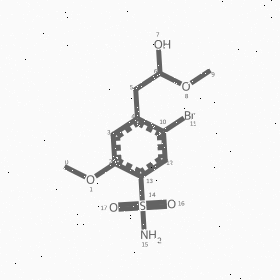 COc1cc(CC(O)OC)c(Br)cc1S(N)(=O)=O